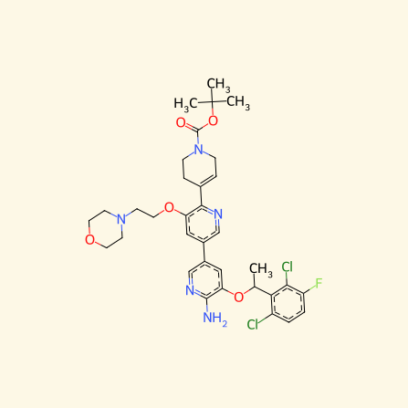 CC(Oc1cc(-c2cnc(C3=CCN(C(=O)OC(C)(C)C)CC3)c(OCCN3CCOCC3)c2)cnc1N)c1c(Cl)ccc(F)c1Cl